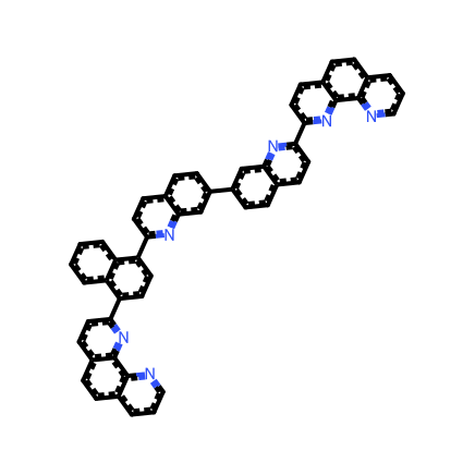 c1cnc2c(c1)ccc1ccc(-c3ccc4ccc(-c5ccc6ccc(-c7ccc(-c8ccc9ccc%10cccnc%10c9n8)c8ccccc78)nc6c5)cc4n3)nc12